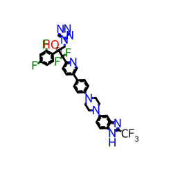 O[C@@](Cn1cnnn1)(c1ccc(F)cc1F)C(F)(F)c1ccc(-c2ccc(N3CCN(c4ccc5[nH]c(C(F)(F)F)nc5c4)CC3)cc2)cn1